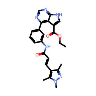 CCOC(=O)c1c[nH]c2ncnc(-c3cccc(NC(=O)/C=C/c4c(C)nn(C)c4C)c3)c12